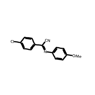 COc1ccc(/N=C(\C#N)c2ccc(Cl)cc2)cc1